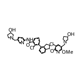 COc1nc(O[C@H]2CCc3c(-c4cccc(C(=O)Nc5ccc(CN6CC[C@@H](O)C6)cn5)c4Cl)cccc32)c(Cl)cc1CN1CC[C@@H](O)C1